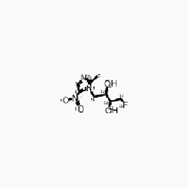 Cc1ncc([N+](=O)[O-])n1CC(O)C(O)CF